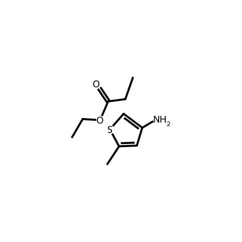 CCOC(=O)CC.Cc1cc(N)cs1